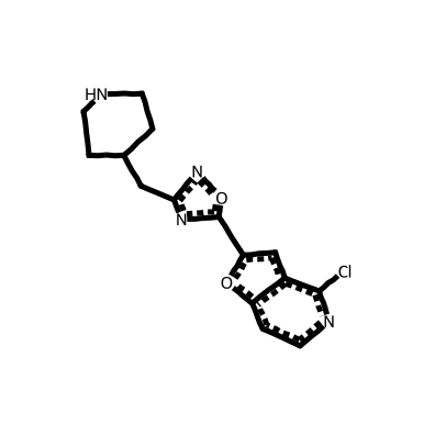 Clc1nccc2oc(-c3nc(CC4CCNCC4)no3)cc12